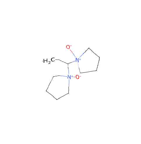 [CH2]C([N+]1([O-])CCCC1)[N+]1([O-])CCCC1